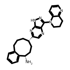 N[C@H]1CC[C@@H](c2cnc3c(N4CCCc5ncccc54)n[nH]c3n2)CCCc2ccccc21